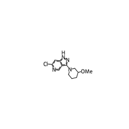 COC1CCCN(c2n[nH]c3cc(Cl)ncc23)C1